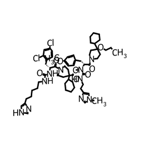 CCCOC1(C2CCCCC2)CCN(C(=O)[C@@H](Cc2ccc(OC)cc2)N(OC(=O)C2(C3CCCCC3)CCN(C(=O)[C@@H](Cc3ccc(Cl)cc3Cl)NC(=O)NCCCCCc3c[nH]cn3)CC2)C(=O)NCCc2cn(C)cn2)CC1